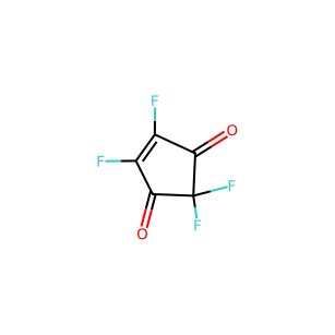 O=C1C(F)=C(F)C(=O)C1(F)F